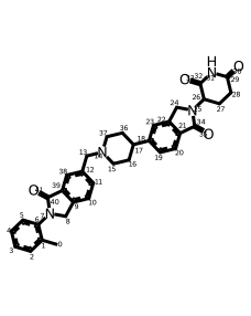 Cc1ccccc1N1Cc2ccc(CN3CCC(c4ccc5c(c4)CN(C4CCC(=O)NC4=O)C5=O)CC3)cc2C1=O